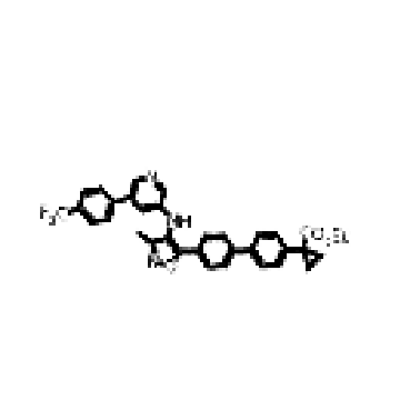 CCOC(=O)C1(c2ccc(-c3ccc(-c4onc(C)c4Nc4cncc(-c5ccc(C(F)(F)F)cc5)c4)cc3)cc2)CC1